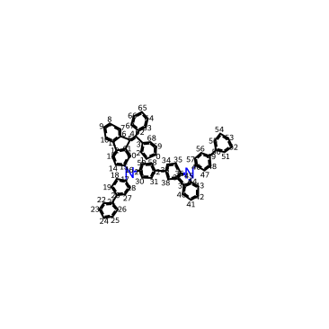 c1ccc(C(=C2c3ccccc3-c3ccc(N(c4ccc(-c5ccccc5)cc4)c4ccc(-c5ccc6c(c5)c5ccccc5n6-c5ccc(-c6ccccc6)cc5)cc4)cc32)c2ccccc2)cc1